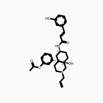 C=CCN1CC[C@@]2(c3cccc(OC(C)=O)c3)C[C@@H](NC(=O)C=Cc3cccc(O)c3)CC[C@]2(O)C1